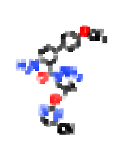 N#Cc1ccnc(OCC2(CN(N)C(=O)c3cc(-c4ccc(OC(F)(F)F)cc4)ccc3N)CC2)n1